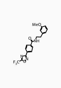 COc1cccc(CCNC(=O)c2ccc(-c3noc(C(F)(F)F)n3)cc2)c1